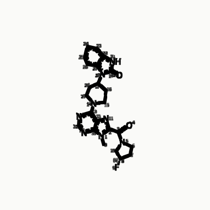 Cn1c(C(=O)N2CC[C@H](F)C2)nc2c(N3CCC(n4c(=O)[nH]c5ccccc54)CC3)ncnc21